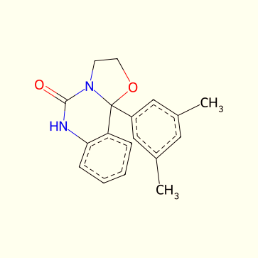 Cc1cc(C)cc(C23OCCN2C(=O)Nc2ccccc23)c1